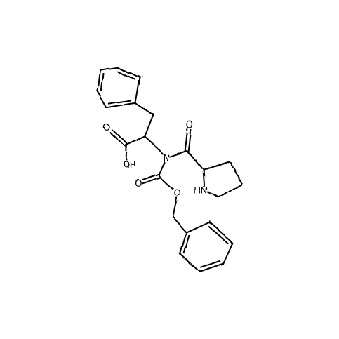 O=C(O)C(Cc1[c]cccc1)N(C(=O)OCc1ccccc1)C(=O)C1CCCN1